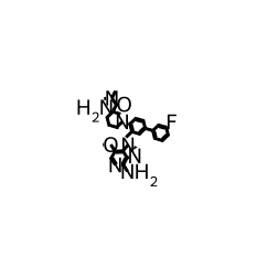 COc1cnc(N)c2ncn(Cc3cc(-c4cccc(F)c4)ccc3N3CCCC(N)(C(=O)N(C)C)C3)c12